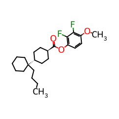 CCCCC1([C@H]2CC[C@H](C(=O)Oc3ccc(OC)c(F)c3F)CC2)CCCCC1